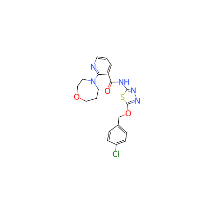 O=C(Nc1nnc(OCc2ccc(Cl)cc2)s1)c1cccnc1N1CCCOCC1